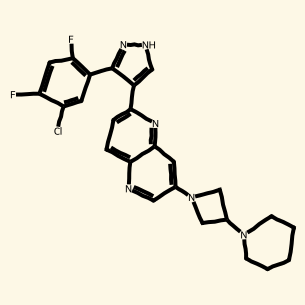 Fc1cc(F)c(-c2n[nH]cc2-c2ccc3ncc(N4CC(N5CCCCC5)C4)cc3n2)cc1Cl